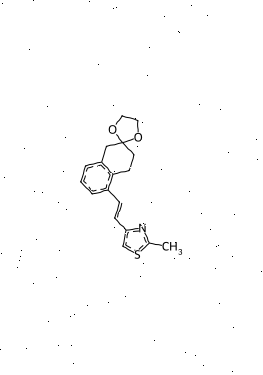 Cc1nc(C=Cc2cccc3c2CCC2(C3)OCCO2)cs1